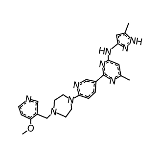 COc1ccncc1CN1CCN(c2ccc(-c3nc(C)cc(Nc4cc(C)[nH]n4)n3)cn2)CC1